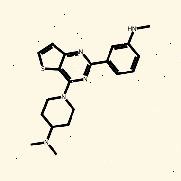 CNc1cccc(-c2nc(N3CCC(N(C)C)CC3)c3sccc3n2)c1